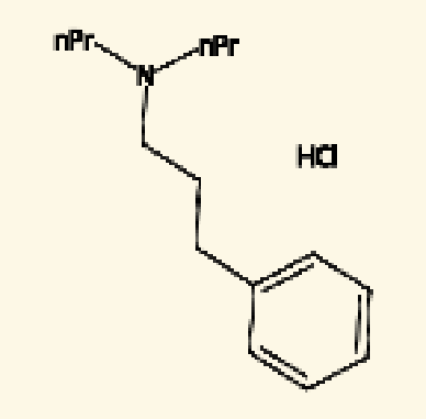 CCCN(CCC)CCCc1ccccc1.Cl